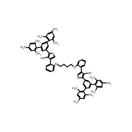 Cc1cc(C)c(-c2cc(-c3scc(-c4ccccc4OCCCCOc4ccccc4-c4csc(-c5cc(-c6c(C)cc(C)cc6C)cc(-c6c(C)cc(C)cc6C)c5)c4O)c3O)cc(-c3c(C)cc(C)cc3C)c2)c(C)c1